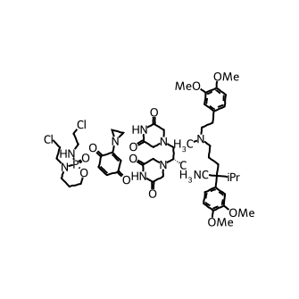 COc1ccc(CCN(C)CCCC(C#N)(c2ccc(OC)c(OC)c2)C(C)C)cc1OC.C[C@@H](CN1CC(=O)NC(=O)C1)N1CC(=O)NC(=O)C1.O=C1C=CC(=O)C(N2CC2)=C1.O=P1(NCCCl)OCCCN1CCCl